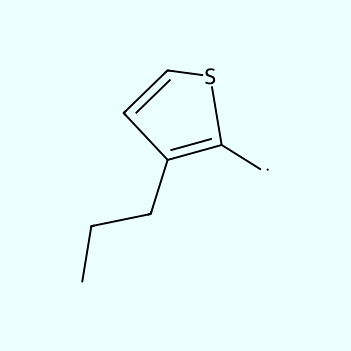 [CH2]c1sccc1CCC